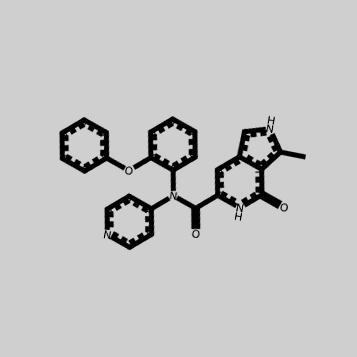 Cc1[nH]cc2cc(C(=O)N(c3ccncc3)c3ccccc3Oc3ccccc3)[nH]c(=O)c12